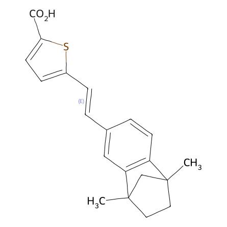 CC12CCC(C)(C1)c1cc(/C=C/c3ccc(C(=O)O)s3)ccc12